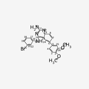 COc1ccc(-c2ccc3nc(N)nc(Nc4cccc(Br)c4)c3c2)cc1OC